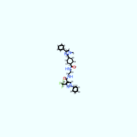 Cn1cc(-c2ccccc2)nc1C1CCC(C(=O)NCCNC(=O)c2cn(-c3ccccc3)nc2C(F)(F)F)CC1